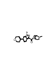 CN1CC2CC1CN2C(=O)c1n[nH]c2cc(C3=CCOCC3)ccc12